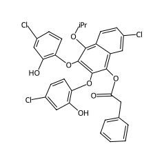 CC(C)Oc1c(Oc2ccc(Cl)cc2O)c(Oc2ccc(Cl)cc2O)c(OC(=O)Cc2ccccc2)c2cc(Cl)ccc12